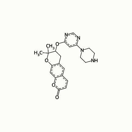 CC1(C)Oc2cc3oc(=O)ccc3cc2CC1Oc1cc(N2CCNCC2)ncn1